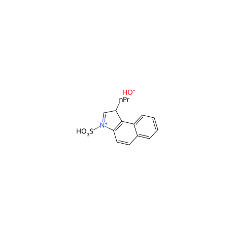 CCCC1C=[N+](S(=O)(=O)O)c2ccc3ccccc3c21.[OH-]